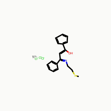 CSCCN=C(C=C(O)c1ccccc1)c1ccccc1.[Cl-].[Cl-].[Cl-].[Ti+3]